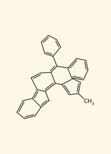 CC1=CCC(c2c3c(ccc2=C(c2ccccc2)c2ccccc2)=c2ccccc2=[C]3)=C1